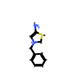 NC1=CN(Cc2ccccc2)CS1